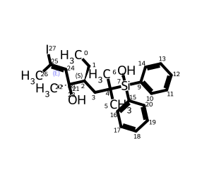 CC[C@@H](CC(C)(C)[Si](O)(c1ccccc1)c1ccccc1)[C@@](C)(O)/C=C(\C)I